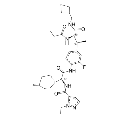 CCC(=O)N[C@@H](C(=O)NCC1CCC1)[C@@H](C)c1ccc(NC(=O)[C@@H](NC(=O)c2ccnn2CC)[C@H]2CC[C@H](C)CC2)c(F)c1